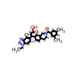 CCn1nnc2c(C)c(C(CC(=O)O)c3ccc4c(c3)CN(C(=O)c3cc(C)cc(C)c3)CC4)ccc21